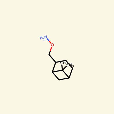 CC1(C)C2CCC(CON)C1C2